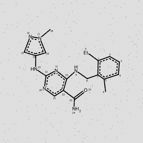 CCc1cccc(C)c1CNc1nc(Nc2cnn(C)c2)ncc1C(N)=O